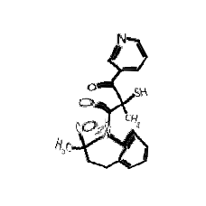 CC(S)(C(=O)c1cccnc1)C(=O)N1c2ccccc2CCC1(C)C(=O)O